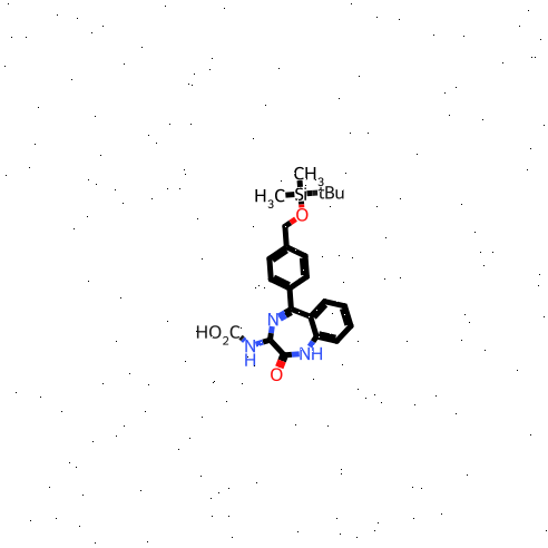 CC(C)(C)[Si](C)(C)OCc1ccc(C2=NC(NC(=O)O)C(=O)Nc3ccccc32)cc1